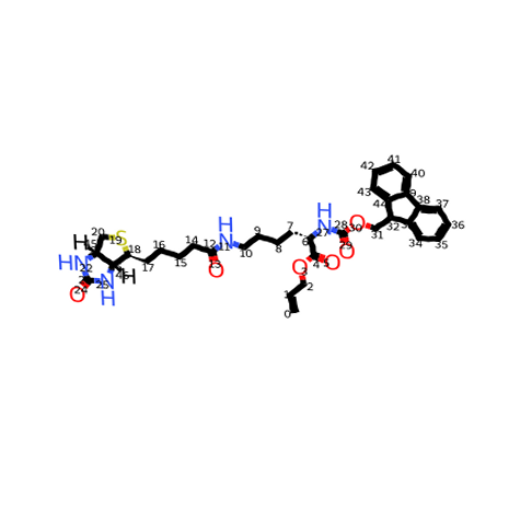 C=CCOC(=O)[C@H](CCCCNC(=O)CCCC[C@@H]1SC[C@H]2NC(=O)N[C@@H]12)NC(=O)OCC1c2ccccc2-c2ccccc21